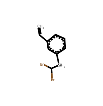 C=Cc1cccc([SiH2]C(Br)Br)c1